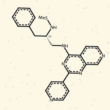 CSN[C@H](CNc1nc(-c2ccncc2)nc2cnccc12)Cc1ccccc1